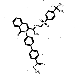 COC(=O)c1ccc(-c2ccc(-n3c(C(C)NCS(=O)(=O)c4ccc(C(C)(C)C)cc4)nc4ccccc4c3=O)cc2)cc1